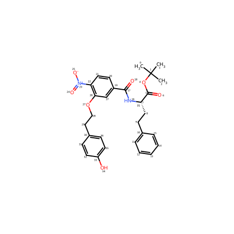 CC(C)(C)OC(=O)[C@H](CCc1ccccc1)NC(=O)c1ccc([N+](=O)[O-])c(OCCc2ccc(O)cc2)c1